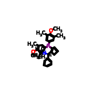 COc1c(C)cc(P(C2=C([C@@H](c3ccccc3)N(C)C)CC=C2)c2cc(C)c(OC)c(C)c2)cc1C